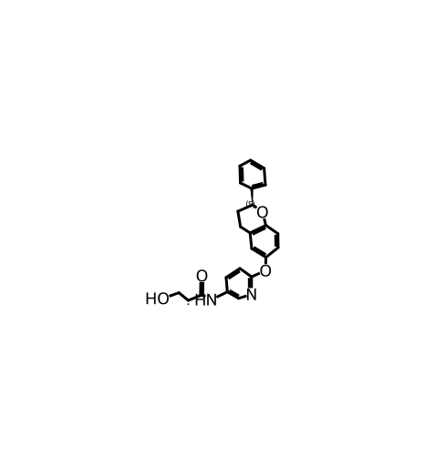 O=C([CH]CO)Nc1ccc(Oc2ccc3c(c2)CC[C@@H](c2ccccc2)O3)nc1